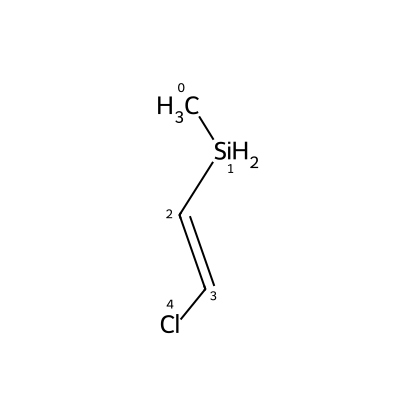 C[SiH2]C=CCl